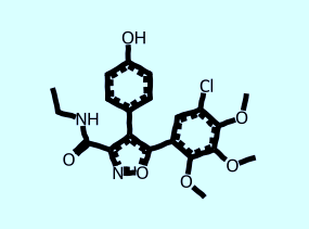 CCNC(=O)c1noc(-c2cc(Cl)c(OC)c(OC)c2OC)c1-c1ccc(O)cc1